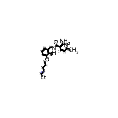 CC/C=C/CCCOc1cccc(CNC(=O)c2ccc(C)nc2N)c1F